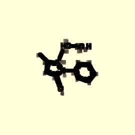 Cc1cc(=O)n(-c2ccccc2)n1C.O=S(=O)(O)O